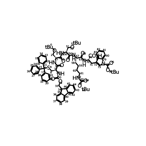 CC(C)(C)OC[C@H](NC(=O)[C@H](CSC(c1ccccc1)(c1ccccc1)c1ccccc1)NC(=O)OCC1c2ccccc2-c2ccccc21)C(=O)N[C@@H](COC(C)(C)C)C(=O)N[C@@H](CCCCNC(=O)OC(C)(C)C)C(=O)N[C@@H](Cc1cn(C(=O)OC(C)(C)C)c2ccccc12)C(=O)O